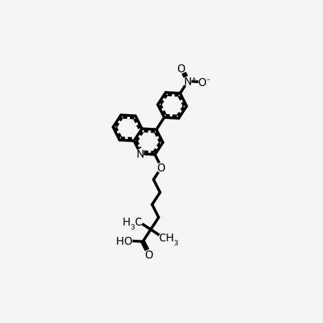 CC(C)(CCCCOc1cc(-c2ccc([N+](=O)[O-])cc2)c2ccccc2n1)C(=O)O